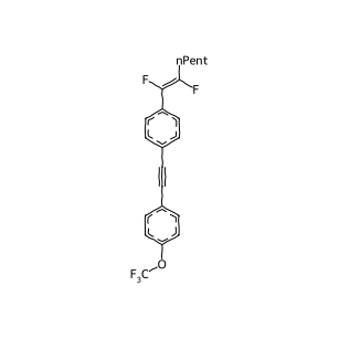 CCCCCC(F)=C(F)c1ccc(C#Cc2ccc(OC(F)(F)F)cc2)cc1